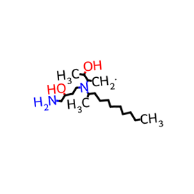 [CH2]C(C(C)O)N(CCC(O)CN)C(C)CCCCCCCCC